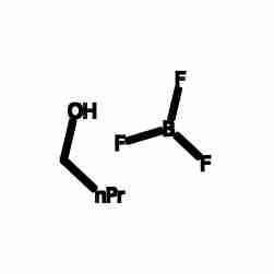 CCCCO.FB(F)F